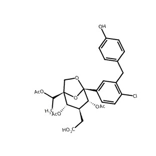 CC(=O)OC(C)[C@@]12CO[C@@](c3ccc(Cl)c(Cc4ccc(O)cc4)c3)(O1)[C@H](OC(C)=O)[C@@H](CC(=O)O)[C@@H]2OC(C)=O